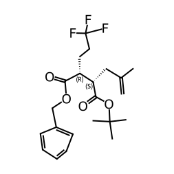 C=C(C)C[C@H](C(=O)OC(C)(C)C)[C@@H](CCC(F)(F)F)C(=O)OCc1ccccc1